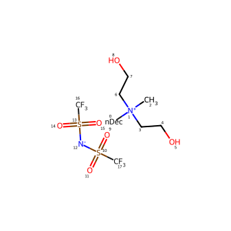 CCCCCCCCCC[N+](C)(CCO)CCO.O=S(=O)([N-]S(=O)(=O)C(F)(F)F)C(F)(F)F